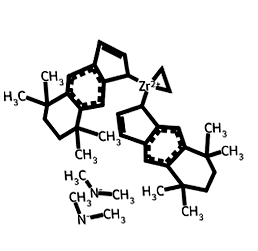 CC1(C)CCC(C)(C)c2cc3c(cc21)C=C[CH]3[Zr+2]1([CH]2C=Cc3cc4c(cc32)C(C)(C)CCC4(C)C)[CH2][CH2]1.C[N-]C.C[N-]C